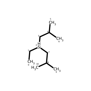 CC[SiH](CC(C)C)CC(C)C